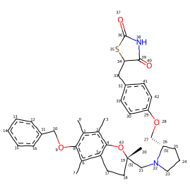 Cc1c(C)c2c(c(C)c1OCc1ccccc1)CC[C@@](C)(CN1CCC[C@H]1COc1ccc(CC3SC(=O)NC3=O)cc1)O2